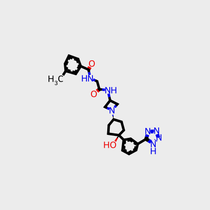 Cc1cccc(C(=O)NCC(=O)NC2CN([C@H]3CC[C@@](O)(c4cccc(-c5nnn[nH]5)c4)CC3)C2)c1